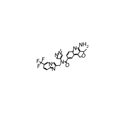 CC1OCc2c1c(N)nc1ccc(C(=O)N(Cc3cn4cc(C(F)(F)F)ccc4n3)c3cnn(C)c3)cc21